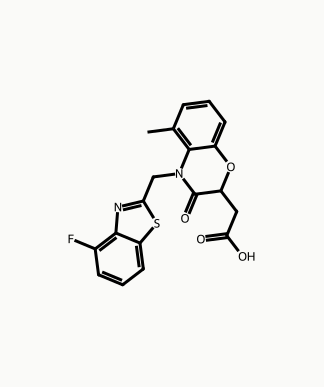 Cc1cccc2c1N(Cc1nc3c(F)cccc3s1)C(=O)C(CC(=O)O)O2